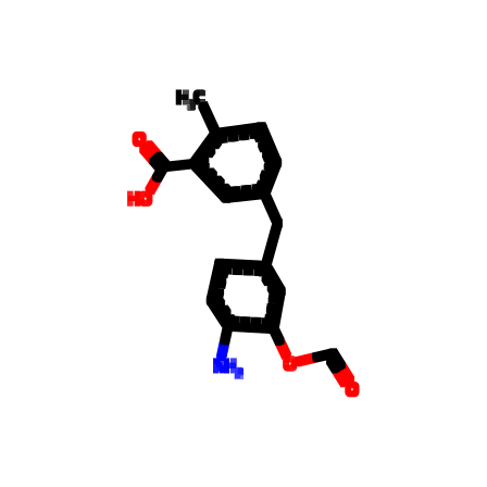 Cc1ccc(Cc2ccc(N)c(OC=O)c2)cc1C(=O)O